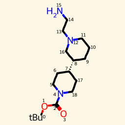 CC(C)(C)OC(=O)N1CCC([C@H]2CCCN(CCN)C2)CC1